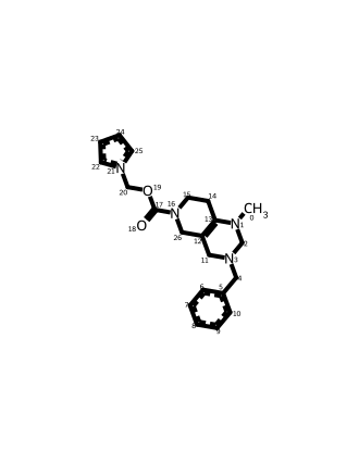 CN1CN(Cc2ccccc2)CC2=C1CCN(C(=O)OCn1cccc1)C2